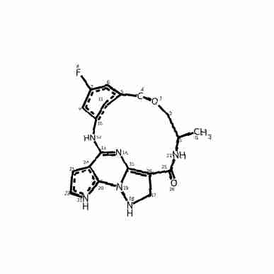 CC1COCc2cc(F)cc(c2)NC2=NC3=C(CNN3c3[nH]ccc32)C(=O)N1